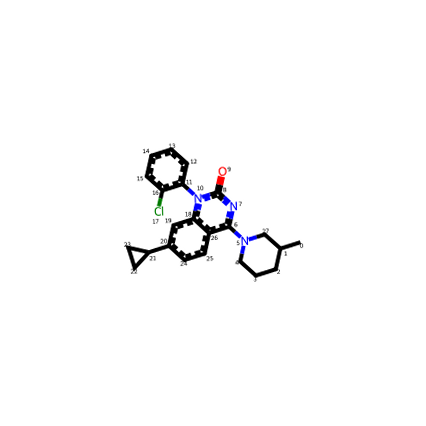 CC1CCCN(c2nc(=O)n(-c3ccccc3Cl)c3cc(C4CC4)ccc23)C1